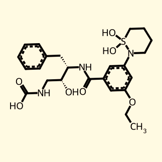 CCOc1cc(C(=O)N[C@@H](Cc2ccccc2)[C@H](O)CNC(=O)O)cc(N2CCCCS2(O)O)c1